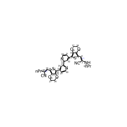 CCCN/C(C#N)=C/c1sc(-c2ccnc(-c3cc(-c4sc(/C=C(\C#N)CCC)c5c4OCCO5)ccn3)c2)c2c1OCCO2